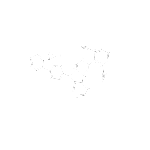 CC1(C)c2ccccc2-c2ccc(-n3c4ccccc4c4cc(-c5c(C#N)cccc5C#N)ccc43)cc21